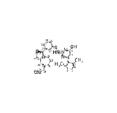 Cc1cccc(C)c1-c1cc(O)nc(NSc2cccc(C(=O)N3CCCN(CC(C)(C)C)CC3CC(C)C)c2)n1